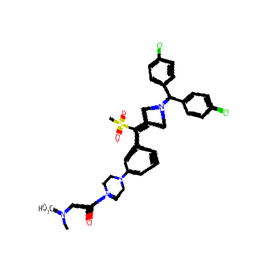 CN(CC(=O)N1CCN(c2cccc(C(=C3CN(C(c4ccc(Cl)cc4)c4ccc(Cl)cc4)C3)S(C)(=O)=O)c2)CC1)C(=O)O